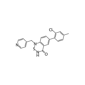 Cc1ccc(-c2ccc3c(c2)C(=O)NSN3Cc2ccncc2)c(Cl)c1